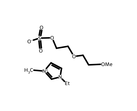 CCn1cc[n+](C)c1.COCCOCCOS(=O)(=O)[O-]